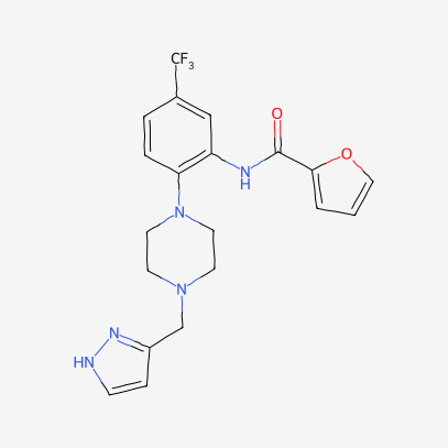 O=C(Nc1cc(C(F)(F)F)ccc1N1CCN(Cc2cc[nH]n2)CC1)c1ccco1